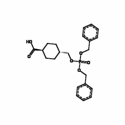 O=C(O)[C@H]1CC[C@H](COP(=O)(OCc2ccccc2)OCc2ccccc2)CC1